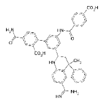 CC1(c2ccccc2)CC(c2cc(NC(=O)c3ccc(C(=O)O)cc3)cc(-c3ccc(C(N)=O)cc3C(=O)O)c2)Nc2ccc(C(=N)N)cc21